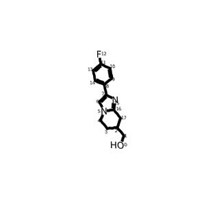 OCC1CCn2cc(-c3ccc(F)cc3)nc2C1